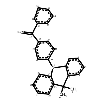 CC1(C)c2ccccc2N(c2ccc(C(=O)c3ccccc3)cc2)c2ccccc21